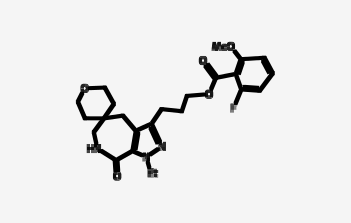 CCn1nc(CCCOC(=O)c2c(F)cccc2OC)c2c1C(=O)NCC1(CCOCC1)C2